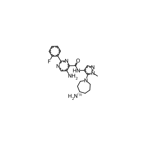 Cn1ncc(NC(=O)c2nc(-c3ccccc3F)ncc2N)c1N1CCC[C@H](N)CC1